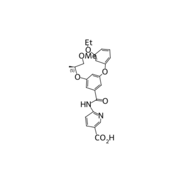 CCOc1cccc(Oc2cc(O[C@@H](C)COC)cc(C(=O)Nc3ccc(C(=O)O)cn3)c2)c1